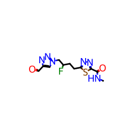 CNC(=O)c1nnc(CCC(F)Cn2cc(C=O)nn2)s1